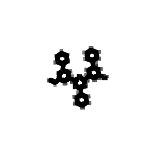 C=Cc1cc(-c2ccccc2)cc(-c2nc(-c3ccccc3)nc(-c3cc(Br)cc(-c4ccccc4)c3)n2)c1